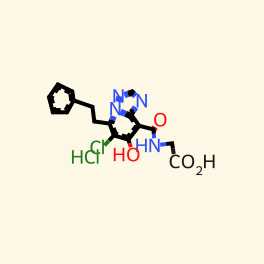 Cl.O=C(O)CNC(=O)c1c(O)c(Cl)c(CCc2ccccc2)n2ncnc12